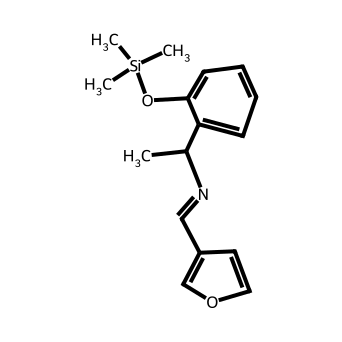 CC(N=Cc1ccoc1)c1ccccc1O[Si](C)(C)C